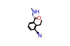 CNC[C@@H]1OCCc2c(C#N)cccc21